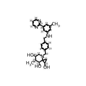 Cc1cc(NCc2ccc(CN3C[C@H](O)[C@@H](C)[C@H](O)C34CC4O)cc2)cc(-c2ncccn2)c1